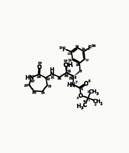 CC(C)(C)OC(=O)N[C@@H](Cc1cc(F)cc(F)c1)[C@H](O)CNC1CCCCNC1=O